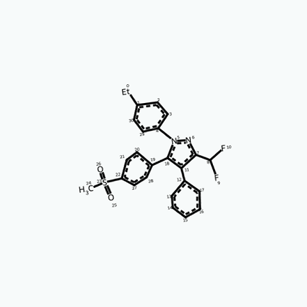 CCc1ccc(-n2nc(C(F)F)c(-c3ccccc3)c2-c2ccc(S(C)(=O)=O)cc2)cc1